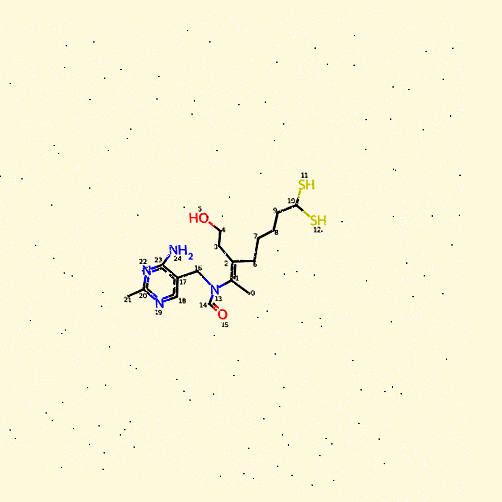 CC(=C(CCO)CCCCC(S)S)N(C=O)Cc1cnc(C)nc1N